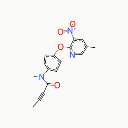 CC#CC(=O)N(C)c1ccc(Oc2ncc(C)cc2[N+](=O)[O-])cc1